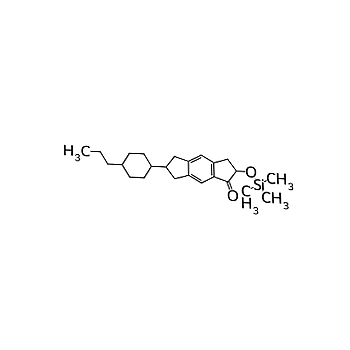 CCCC1CCC(C2Cc3cc4c(cc3C2)C(=O)C(O[Si](C)(C)C)C4)CC1